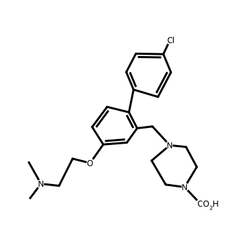 CN(C)CCOc1ccc(-c2ccc(Cl)cc2)c(CN2CCN(C(=O)O)CC2)c1